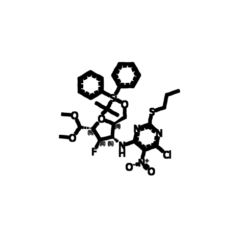 CCCSc1nc(Cl)c([N+](=O)[O-])c(N[C@@H]2[C@@H](F)[C@H](C(OC)OC)O[C@H]2CO[Si](c2ccccc2)(c2ccccc2)C(C)(C)C)n1